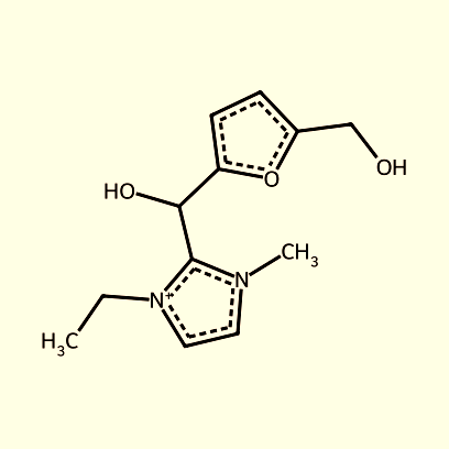 CC[n+]1ccn(C)c1C(O)c1ccc(CO)o1